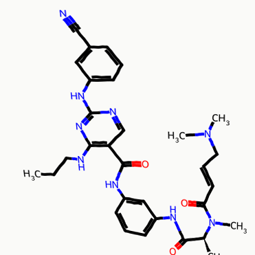 CCCNc1nc(Nc2cccc(C#N)c2)ncc1C(=O)Nc1cccc(NC(=O)[C@H](C)N(C)C(=O)C=CCN(C)C)c1